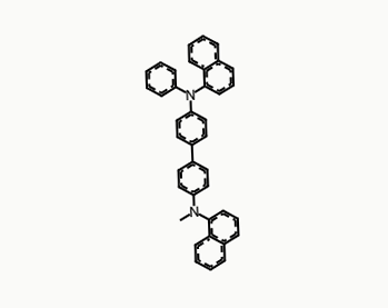 CN(c1ccc(-c2ccc(N(c3ccccc3)c3cccc4ccccc34)cc2)cc1)c1cccc2ccccc12